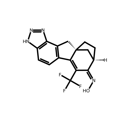 O/N=C1\C(C(F)(F)F)=C2c3ccc4[nH]nnc4c3C[C@@]23CC[C@@H]1C3